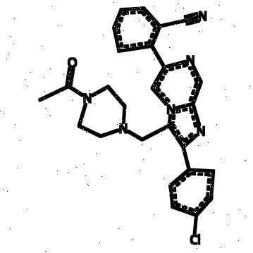 CC(=O)N1CCN(Cc2c(-c3ccc(Cl)cc3)nc3cnc(-c4ccccc4C#N)cn23)CC1